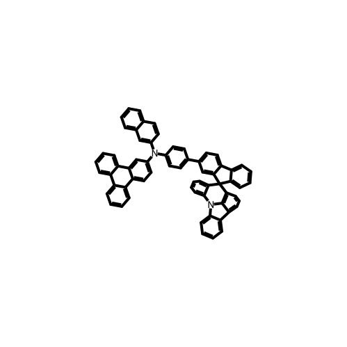 c1ccc2c(c1)-c1ccc(-c3ccc(N(c4ccc5ccccc5c4)c4ccc5c6ccccc6c6ccccc6c5c4)cc3)cc1C21c2ccccc2-n2c3ccccc3c3cccc1c32